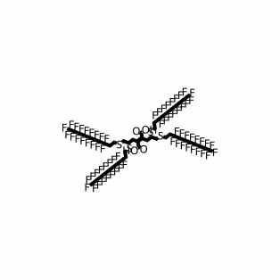 O=C(O)/C(CC(CSCCC(F)(F)C(F)(F)C(F)(F)C(F)(F)C(F)(F)C(F)(F)C(F)(F)C(F)(F)F)SCCC(F)(F)C(F)(F)C(F)(F)C(F)(F)C(F)(F)C(F)(F)C(F)(F)C(F)(F)F)=C(\CC(CSCCC(F)(F)C(F)(F)C(F)(F)C(F)(F)C(F)(F)C(F)(F)C(F)(F)C(F)(F)F)SCCC(F)(F)C(F)(F)C(F)(F)C(F)(F)C(F)(F)C(F)(F)C(F)(F)C(F)(F)F)C(=O)O